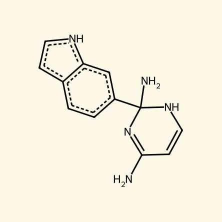 NC1=NC(N)(c2ccc3cc[nH]c3c2)NC=C1